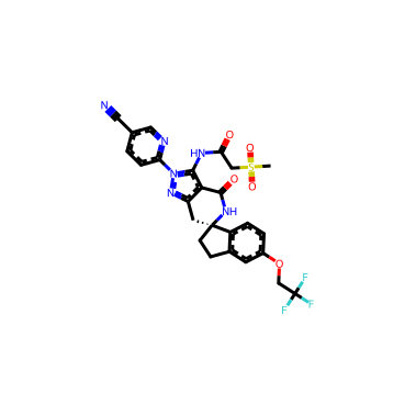 CS(=O)(=O)CC(=O)Nc1c2c(nn1-c1ccc(C#N)cn1)C[C@]1(CCc3cc(OCC(F)(F)F)ccc31)NC2=O